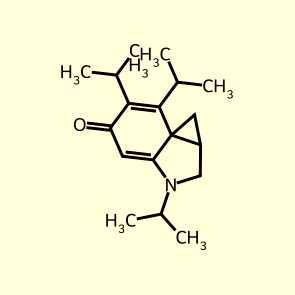 CC(C)C1=C(C(C)C)C23CC2CN(C(C)C)C3=CC1=O